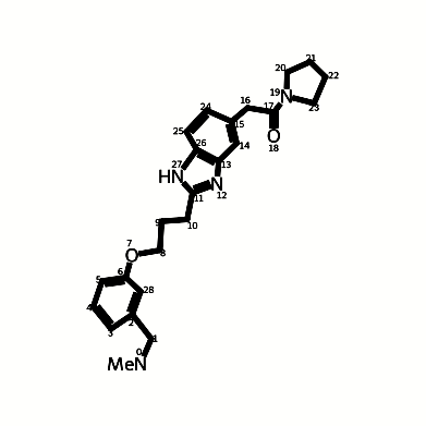 CNCc1cccc(OCCCc2nc3cc(CC(=O)N4CCCC4)ccc3[nH]2)c1